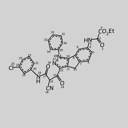 CCOC(=O)C(=O)Nc1ccc2c(c1)-c1c(c(C(=O)C(C#N)C(=O)Nc3cccc(Cl)c3)nn1-c1ccccc1)C2